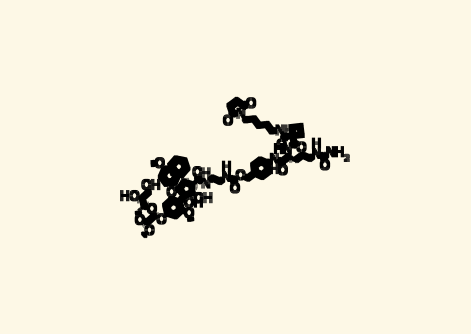 COc1ccc([C@@]23Oc4cc(O[C@H]5O[C@@H]([C@H](O)CO)CO[C@H]5OC)cc(OC)c4[C@]2(O)[C@H](O)[C@H](C(=O)NCCNC(=O)OCc2ccc(NC(=O)[C@H](CCCNC(N)=O)NC(=O)C4(C(=O)NCCCCCN5C(=O)C=CC5=O)CCC4)cc2)[C@H]3c2ccccc2)cc1